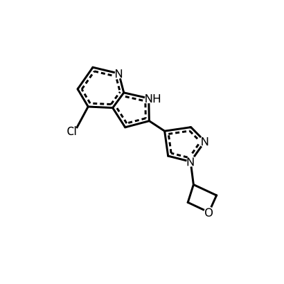 Clc1ccnc2[nH]c(-c3cnn(C4COC4)c3)cc12